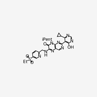 CCC[C@@H](C)n1c(=O)c(NCc2ccc(S(=O)(=O)CC)cn2)nc2cnc(-c3c(O)ncnc3C3CC3)nc21